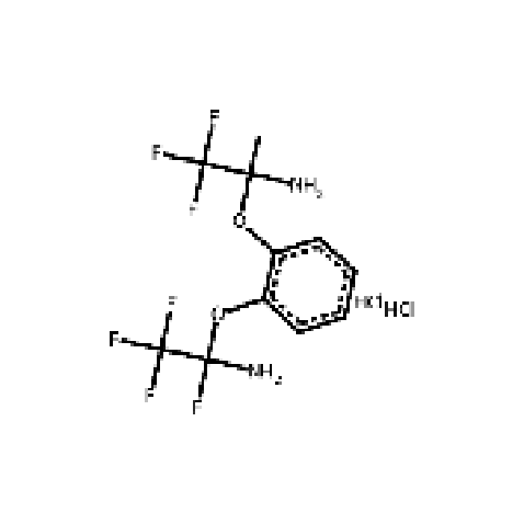 Cl.Cl.NC(F)(Oc1ccccc1OC(N)(F)C(F)(F)F)C(F)(F)F